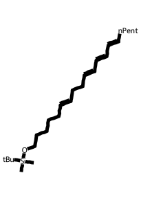 CCCCCC=CC=CC=CCCC=CCCCCCO[Si](C)(C)C(C)(C)C